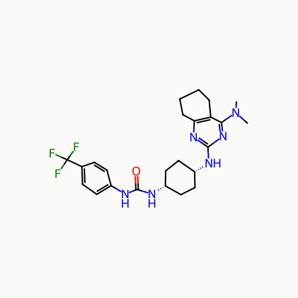 CN(C)c1nc(N[C@H]2CC[C@@H](NC(=O)Nc3ccc(C(F)(F)F)cc3)CC2)nc2c1CCCC2